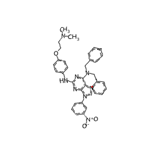 CN(C)CCOc1ccc(Nc2nc(N(Cc3ccccc3)Cc3ccccc3)c3ncn(-c4cccc([N+](=O)[O-])c4)c3n2)cc1